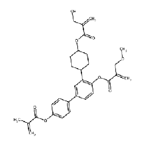 C=C(C)C(=O)Oc1ccc(-c2ccc(OC(=O)C(=C)COC)c(C3CCC(OC(=O)C(=C)CO)CC3)c2)cc1